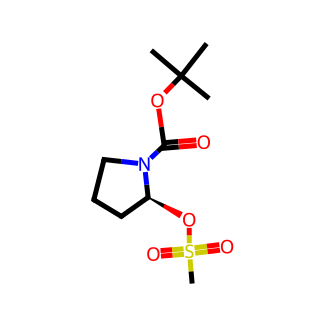 CC(C)(C)OC(=O)N1CCC[C@@H]1OS(C)(=O)=O